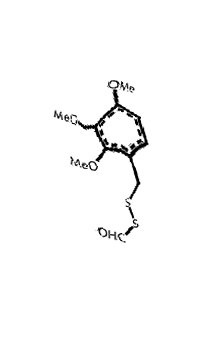 COc1ccc(CSS[C]=O)c(OC)c1OC